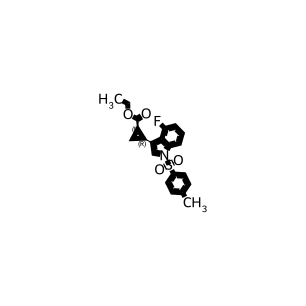 CCOC(=O)[C@@H]1C[C@H]1c1cn(S(=O)(=O)c2ccc(C)cc2)c2cccc(F)c12